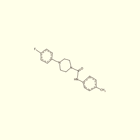 Cc1ccc(NC(=O)N2CCN(c3ccc(F)cc3)CC2)cc1